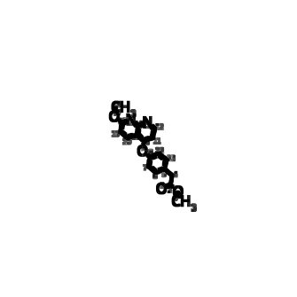 COC(=O)Cc1ccc(Oc2ccnc3nc(OC)ccc23)cc1